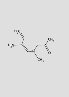 C=C/C(N)=C\N(C)CC(C)=O